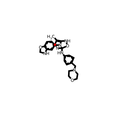 CC1=C2NOC(Nc3ccc(CN4CCOCC4)cc3)(N=C1)N2c1ccc2c(c1)NCO2